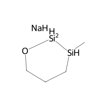 C[SiH]1CCCO[SiH2]1.[NaH]